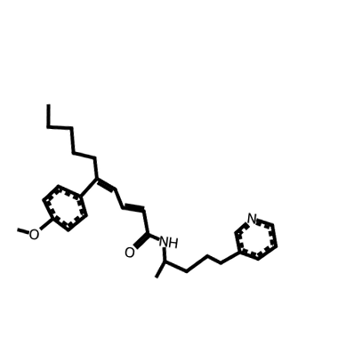 CCCCC/C(=C/C=C/C(=O)NC(C)CCCc1cccnc1)c1ccc(OC)cc1